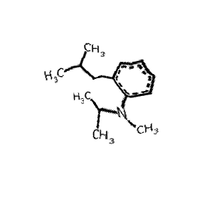 CC(C)Cc1ccccc1N(C)C(C)C